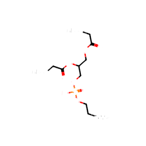 CCCCCCCCCCCC(=O)OCC(COP(=O)(O)OCCNC)OC(=O)CCCCCCCCCCC